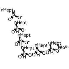 CCCCCCC[PH](=O)[O-].CCCCCCC[PH](=O)[O-].CCCCCCC[PH](=O)[O-].CCCCCCC[PH](=O)[O-].CCCCCCC[PH](=O)[O-].CCCCCCC[PH](=O)[O-].[Mo+6]